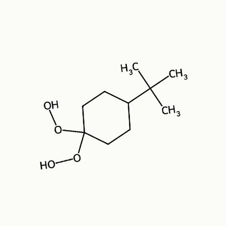 CC(C)(C)C1CCC(OO)(OO)CC1